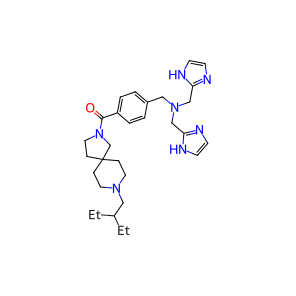 CCC(CC)CN1CCC2(CC1)CCN(C(=O)c1ccc(CN(Cc3ncc[nH]3)Cc3ncc[nH]3)cc1)C2